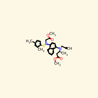 C#CCN(c1ccc(N(CC(=O)OC)Sc2ccc(C)cc2C)c2ccccc12)[C@@H](C)CC(=O)OC